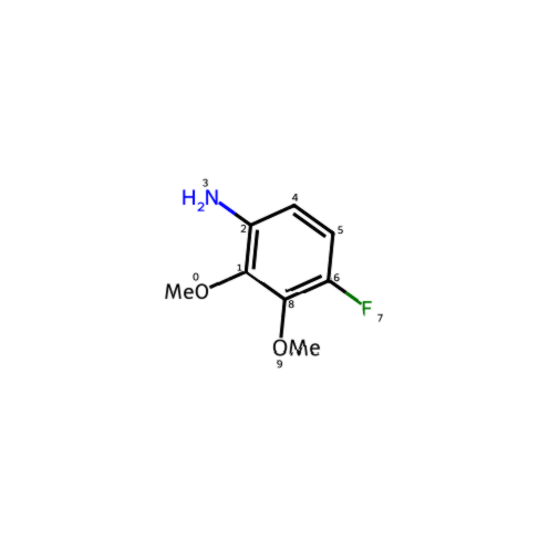 COc1c(N)ccc(F)c1OC